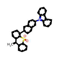 C=C1c2ccccc2S(=O)(=O)c2c1cccc2-c1ccc2cc(-n3c4ccccc4c4ccccc43)ccc2c1